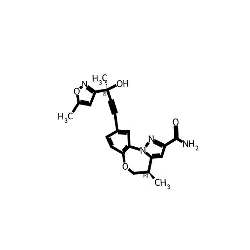 Cc1cc([C@@](C)(O)C#Cc2ccc3c(c2)-n2nc(C(N)=O)cc2[C@@H](C)CO3)no1